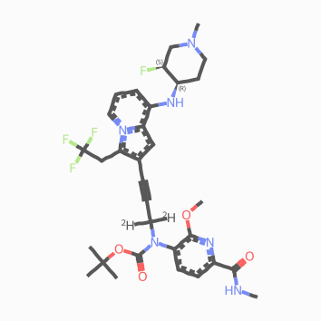 [2H]C([2H])(C#Cc1cc2c(N[C@@H]3CCN(C)C[C@@H]3F)cccn2c1CC(F)(F)F)N(C(=O)OC(C)(C)C)c1ccc(C(=O)NC)nc1OC